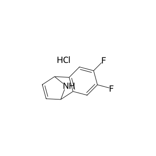 Cl.Fc1cc2c(cc1F)C1C=CC2N1